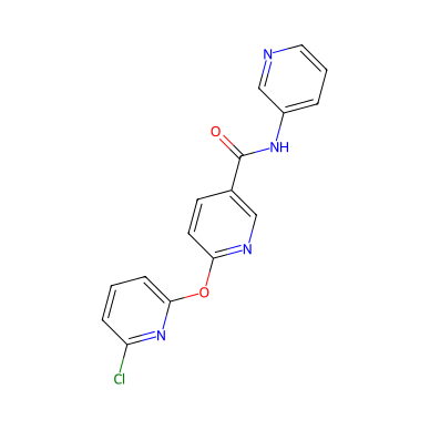 O=C(Nc1cccnc1)c1ccc(Oc2cccc(Cl)n2)nc1